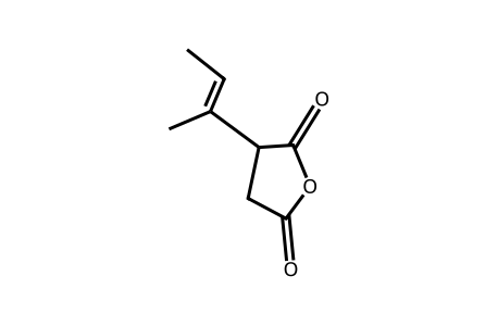 C/C=C(\C)C1CC(=O)OC1=O